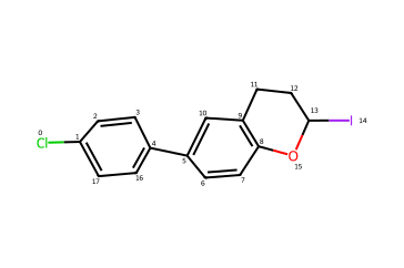 Clc1ccc(-c2ccc3c(c2)CCC(I)O3)cc1